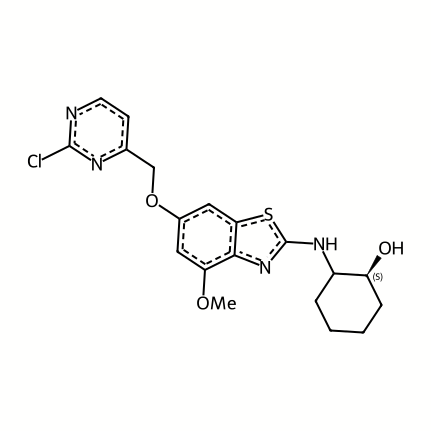 COc1cc(OCc2ccnc(Cl)n2)cc2sc(NC3CCCC[C@@H]3O)nc12